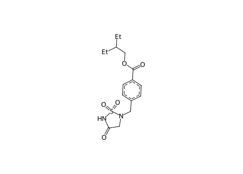 CCC(CC)COC(=O)c1ccc(CN2CC(=O)NS2(=O)=O)cc1